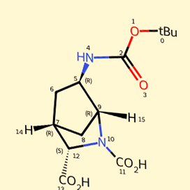 CC(C)(C)OC(=O)N[C@@H]1C[C@@H]2C[C@H]1N(C(=O)O)[C@@H]2C(=O)O